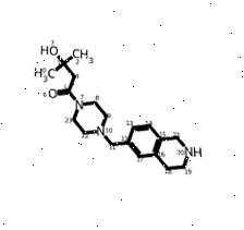 CC(C)(O)CC(=O)N1CCN(Cc2ccc3c(c2)CCNC3)CC1